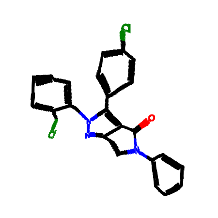 O=C1c2c(nn(-c3ccccc3Cl)c2-c2ccc(Cl)cc2)CN1c1ccccc1